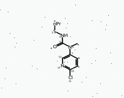 CCCSNC(=O)N(C)c1ccc(Cl)nc1